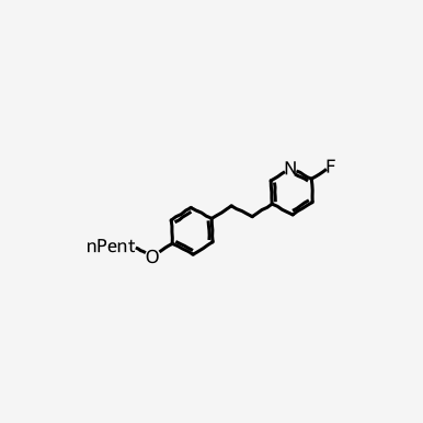 CCCCCOc1ccc(CCc2ccc(F)nc2)cc1